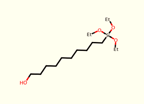 CCO[Si](CCCCCCCCCCO)(OCC)OCC